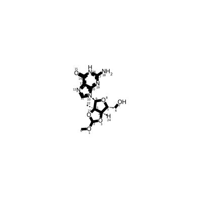 COC1O[C@@H]2[C@@H](CO)O[C@@H](n3cnc4c(=O)[nH]c(N)nc43)[C@]2(C)O1